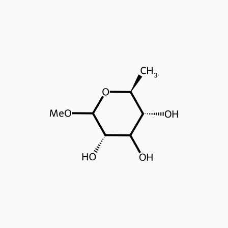 COC1O[C@@H](C)[C@H](O)C(O)[C@@H]1O